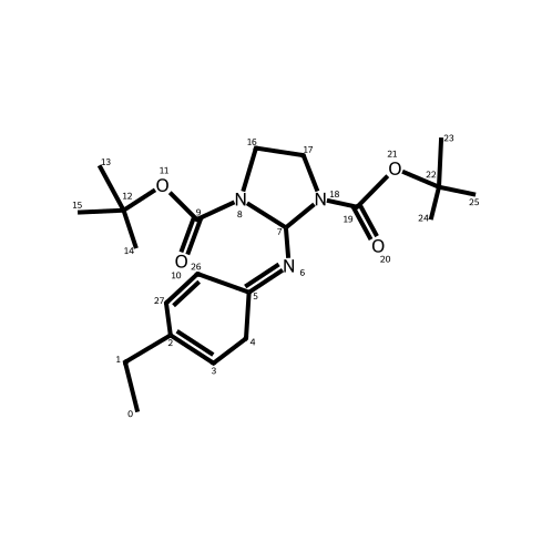 CCC1=CCC(=NC2N(C(=O)OC(C)(C)C)CCN2C(=O)OC(C)(C)C)C=C1